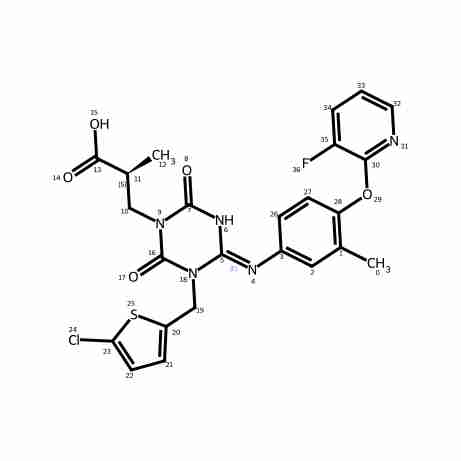 Cc1cc(/N=c2\[nH]c(=O)n(C[C@H](C)C(=O)O)c(=O)n2Cc2ccc(Cl)s2)ccc1Oc1ncccc1F